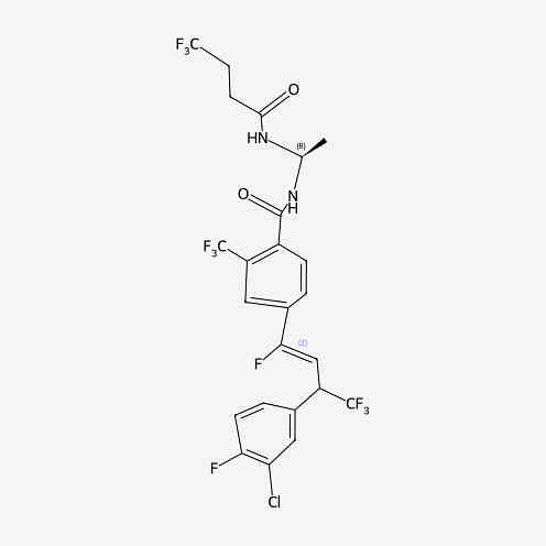 C[C@H](NC(=O)CCC(F)(F)F)NC(=O)c1ccc(/C(F)=C/C(c2ccc(F)c(Cl)c2)C(F)(F)F)cc1C(F)(F)F